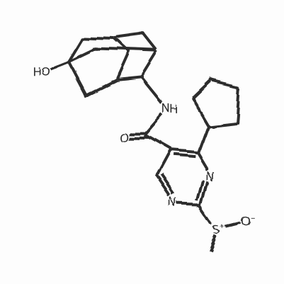 C[S+]([O-])c1ncc(C(=O)NC2C3CC4CC2CC(O)(C4)C3)c(C2CCCC2)n1